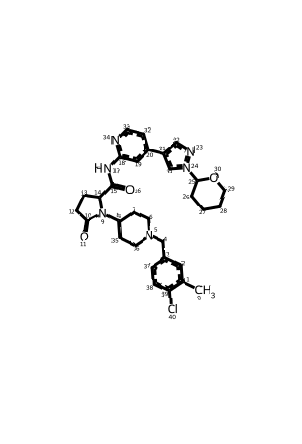 Cc1cc(CN2CCC(N3C(=O)CCC3C(=O)Nc3cc(-c4cnn(C5CCCCO5)c4)ccn3)CC2)ccc1Cl